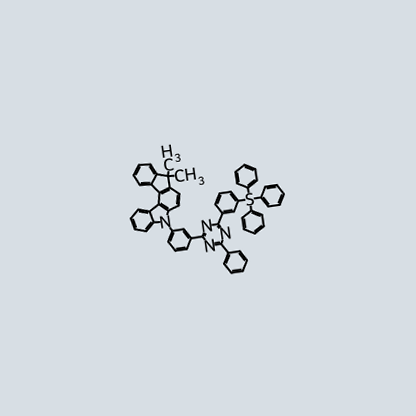 CC1(C)c2ccccc2-c2c1ccc1c2c2ccccc2n1-c1cccc(-c2nc(-c3ccccc3)nc(-c3cccc(S(c4ccccc4)(c4ccccc4)c4ccccc4)c3)n2)c1